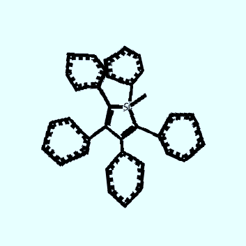 C[Si]1(c2ccccc2)C(c2ccccc2)=C(c2ccccc2)C(c2ccccc2)=C1c1ccccc1